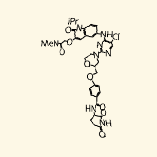 CNC(=O)COc1cc2cc(Nc3nc(N4CCO[C@H](COc5ccc(C(=O)NC6CCC(=O)NC6=O)cc5)C4)ncc3Cl)ccc2n(C(C)C)c1=O